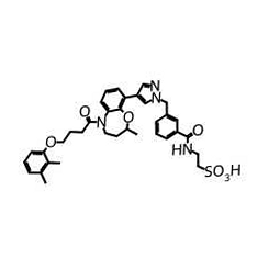 Cc1cccc(OCCCC(=O)N2CCC(C)Oc3c(-c4cnn(Cc5cccc(C(=O)NCCS(=O)(=O)O)c5)c4)cccc32)c1C